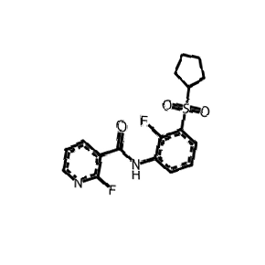 O=C(Nc1cccc(S(=O)(=O)C2CCCC2)c1F)c1cccnc1F